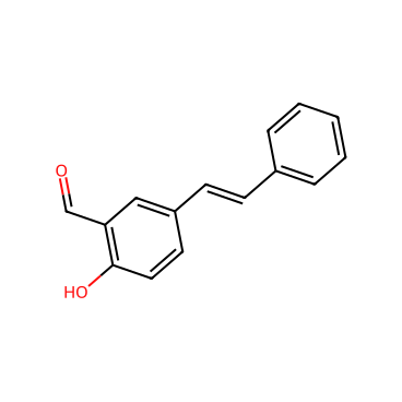 O=Cc1cc(/C=C/c2ccccc2)ccc1O